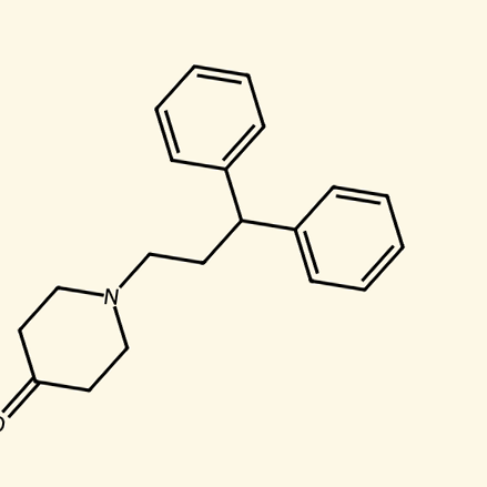 O=C1CCN(CCC(c2ccccc2)c2ccccc2)CC1